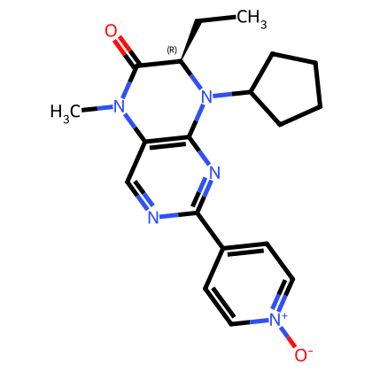 CC[C@@H]1C(=O)N(C)c2cnc(-c3cc[n+]([O-])cc3)nc2N1C1CCCC1